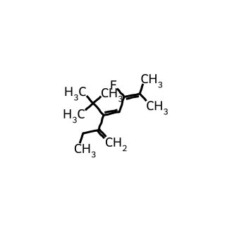 C=C(CC)/C(=C/C(F)=C(C)C)C(C)(C)C